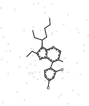 CCCCC(CC)c1c(CC)nn2c(-c3ccc(Cl)cc3Cl)c(C)cnc12